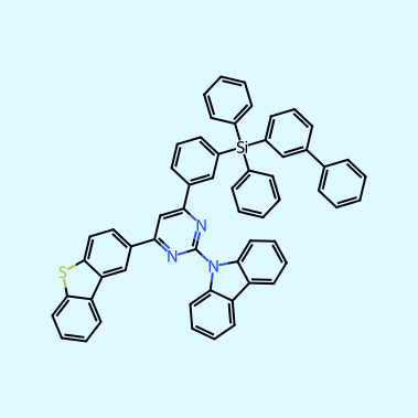 c1ccc(-c2cccc([Si](c3ccccc3)(c3ccccc3)c3cccc(-c4cc(-c5ccc6sc7ccccc7c6c5)nc(-n5c6ccccc6c6ccccc65)n4)c3)c2)cc1